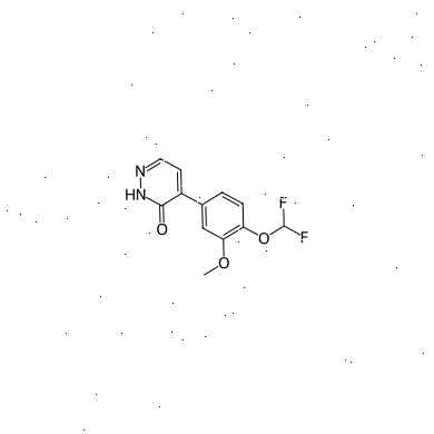 COc1cc(-c2ccn[nH]c2=O)ccc1OC(F)F